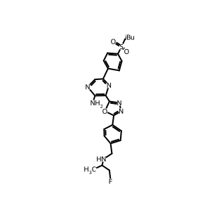 CCC(C)S(=O)(=O)c1ccc(-c2cnc(N)c(-c3nnc(-c4ccc(CNC(C)CF)cc4)o3)n2)cc1